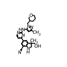 Cc1cc(Nc2nccc(-c3cc(C#N)c4c(c3)[C@@](C)(CO)CN4)n2)n(CC2CCCOC2)n1